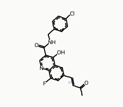 CC(=O)/C=C/c1cc(F)c2ncc(C(=O)NCc3ccc(Cl)cc3)c(O)c2c1